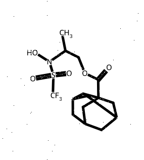 CC(COC(=O)C12CC3CC(CC(C3)C1)C2)N(O)S(=O)(=O)C(F)(F)F